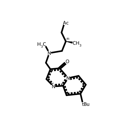 CC(=O)C[C@@H](C)CN(C)Cc1cnc2cc(C(C)(C)C)ccn2c1=O